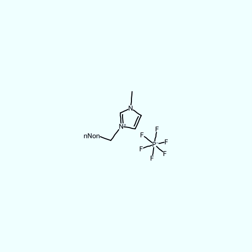 CCCCCCCCCC[n+]1ccn(C)c1.F[P-](F)(F)(F)(F)F